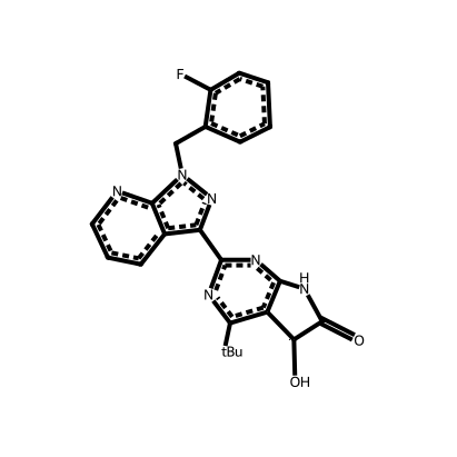 CC(C)(C)c1nc(-c2nn(Cc3ccccc3F)c3ncccc23)nc2c1[C](O)C(=O)N2